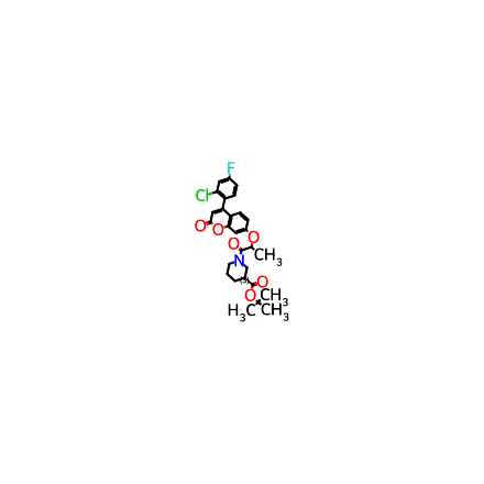 CC(Oc1ccc2c(-c3ccc(F)cc3Cl)cc(=O)oc2c1)C(=O)N1CCC[C@H](C(=O)OC(C)(C)C)C1